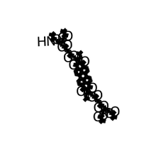 C=C(C)C(=N)OCC(COC(=O)C(=C)C)OC(=O)CCC(=O)OCC(CC(C)C)N1C(=O)c2ccc3c4ccc5c6c(ccc(c7ccc(c2c37)C1=O)c64)C(=O)N(C(COC(=O)CCC(=O)OC(COC(=O)C(=C)C)COC(=O)C(=C)C)CC(C)C)C5=O